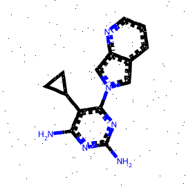 Nc1nc(N)c(C2CC2)c(-n2cc3cccnc3c2)n1